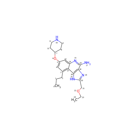 CCCc1cc(OC2CCNCC2)cc2nc(N)c3nc(COCC)[nH]c3c12